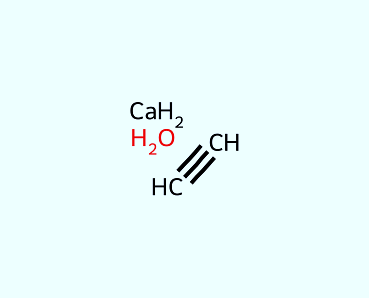 C#C.O.[CaH2]